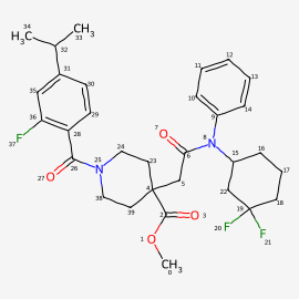 COC(=O)C1(CC(=O)N(c2ccccc2)C2CCCC(F)(F)C2)CCN(C(=O)c2ccc(C(C)C)cc2F)CC1